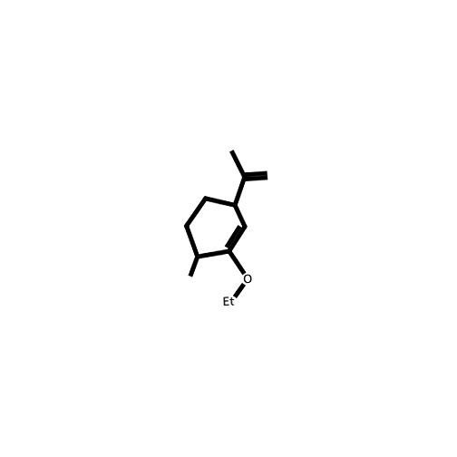 C=C(C)C1C=C(OCC)C(C)CC1